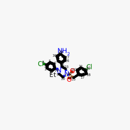 CCc1cc(Cl)ccc1N1CCN(S(=O)(=O)Cc2ccc(Cl)cc2)CC1c1ccc(N)cc1